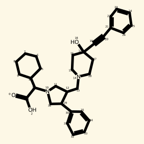 O=C(O)C(C1CCCCC1)N1CC(CN2CCC(O)(C#Cc3ccccc3)CC2)C(c2ccccc2)C1